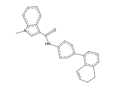 Cn1cc(C(=O)Nc2ccc(-c3cccc4c3C=CCC4)cc2)c2ccccc21